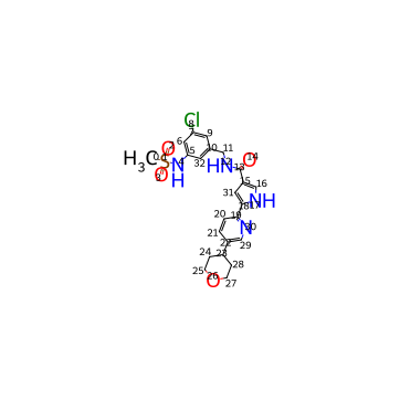 CS(=O)(=O)Nc1cc(Cl)cc(CNC(=O)c2c[nH]c(-c3ccc(C4CCOCC4)cn3)c2)c1